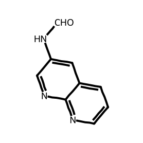 O=CNc1cnc2ncccc2c1